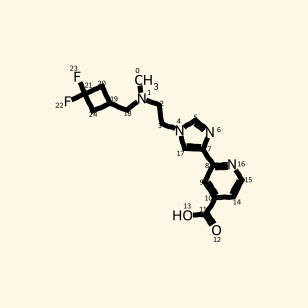 CN(CCn1cnc(-c2cc(C(=O)O)ccn2)c1)CC1CC(F)(F)C1